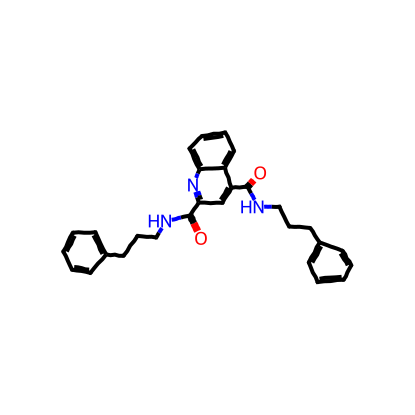 O=C(NCCCc1ccccc1)c1cc(C(=O)NCCCc2ccccc2)c2ccccc2n1